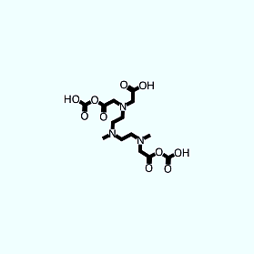 CN(CCN(C)CC(=O)OC(=O)O)CCN(CC(=O)O)CC(=O)OC(=O)O